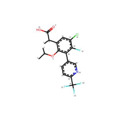 CC(C)Oc1c(C(C)C(=O)O)cc(Cl)c(F)c1-c1ccc(C(F)(F)F)nc1